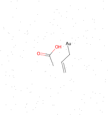 C=C[CH2][Au].CC(=O)O